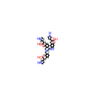 O=C(O)[C@@H](Cc1cccc(CN(CCNc2cccc(C[C@H](C(=O)O)[C@H]3CCNC3)c2)Cc2cccc(C[C@H](C(=O)O)[C@H]3CCNC3)c2)c1)[C@H]1CCNC1